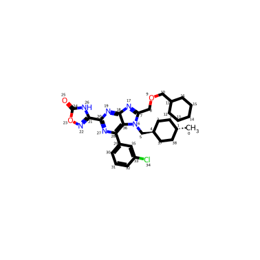 C[C@H]1CC[C@H](Cn2c(COCC3CCCCC3)nc3nc(-c4noc(=O)[nH]4)nc(-c4cccc(Cl)c4)c32)CC1